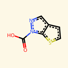 O=C(O)n1ncc2ccsc21